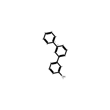 Oc1cccc(-c2cccc(-c3ccccc3)c2)c1